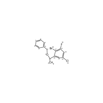 CC(OCc1ccccc1)c1cc(Cl)cc(F)c1Br